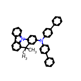 CC1(C)c2cc(N(c3ccc(-c4ccccc4)cc3)c3ccc(-c4ccccc4)cc3)ccc2-n2c3ccccc3c3cccc1c32